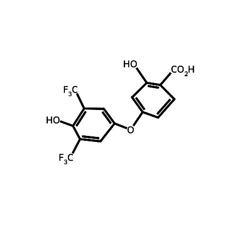 O=C(O)c1ccc(Oc2cc(C(F)(F)F)c(O)c(C(F)(F)F)c2)cc1O